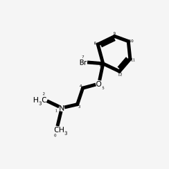 CN(C)CCOC1(Br)C=CCC=C1